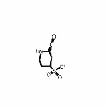 O=C=C1CC(S(=O)(=O)Cl)CCN1